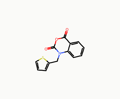 O=c1oc(=O)n(Cc2cccs2)c2ccccc12